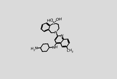 Cc1ccc2nc(N3CCS(O)(O)c4ccccc4C3)cc(NC3CCC(N)CC3)c2c1